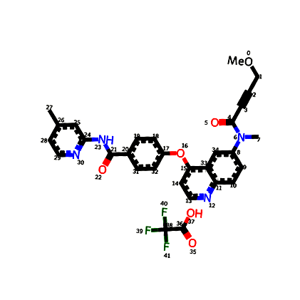 COCC#CC(=O)N(C)c1ccc2nccc(Oc3ccc(C(=O)Nc4cc(C)ccn4)cc3)c2c1.O=C(O)C(F)(F)F